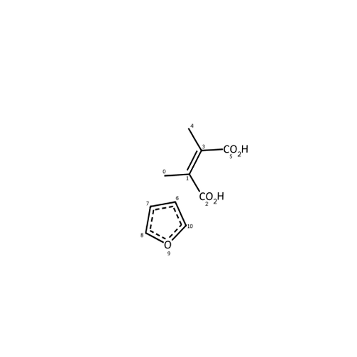 C/C(C(=O)O)=C(\C)C(=O)O.c1ccoc1